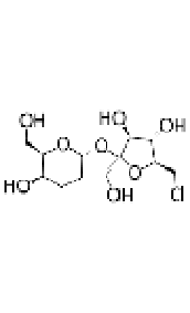 OC[C@H]1O[C@H](O[C@]2(CO)O[C@H](CCl)[C@@H](O)[C@@H]2O)CC[C@H]1O